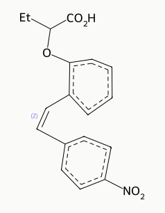 CCC(Oc1ccccc1/C=C\c1ccc([N+](=O)[O-])cc1)C(=O)O